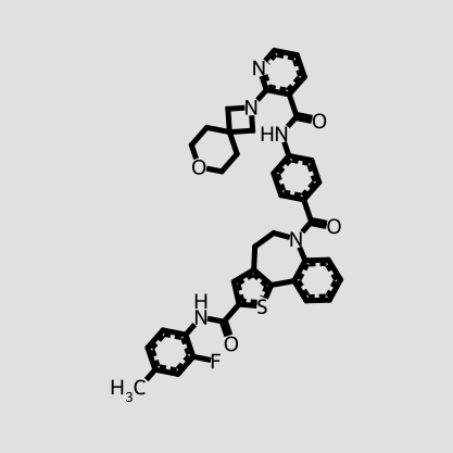 Cc1ccc(NC(=O)c2cc3c(s2)-c2ccccc2N(C(=O)c2ccc(NC(=O)c4cccnc4N4CC5(CCOCC5)C4)cc2)CC3)c(F)c1